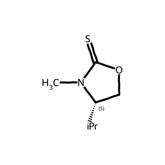 CC(C)[C@H]1COC(=S)N1C